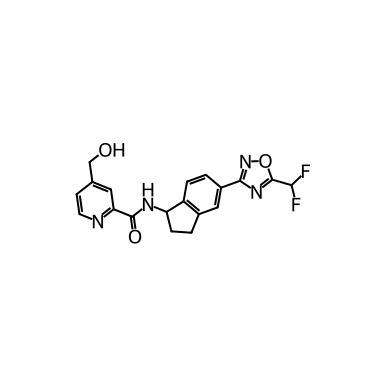 O=C(NC1CCc2cc(-c3noc(C(F)F)n3)ccc21)c1cc(CO)ccn1